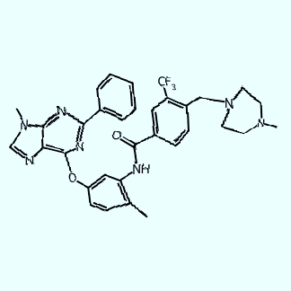 Cc1ccc(Oc2nc(-c3ccccc3)nc3c2ncn3C)cc1NC(=O)c1ccc(CN2CCN(C)CC2)c(C(F)(F)F)c1